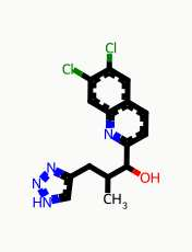 CC(Cc1c[nH]nn1)C(O)c1ccc2cc(Cl)c(Cl)cc2n1